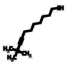 C[Si](C)(C)C#CCCCCCCCS